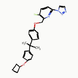 CC(C)(c1ccc(OCc2nc(-n3ccnn3)ccc2F)cc1)c1ccc(OC2CCC2)cc1